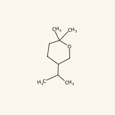 CC(C)C1CCC(C)(C)OC1